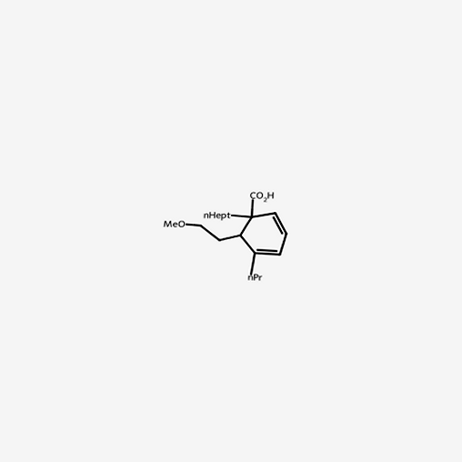 CCCCCCCC1(C(=O)O)C=CC=C(CCC)C1CCOC